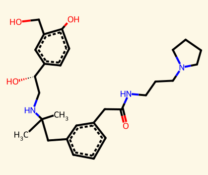 CC(C)(Cc1cccc(CC(=O)NCCCN2CCCC2)c1)NC[C@H](O)c1ccc(O)c(CO)c1